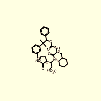 CC(C)(c1cccc(Cl)c1)C(OC(=O)N[C@@H](CC1CCCCC1)C(=O)NC(CC(=O)O)[C@@H]1CCNC1=O)c1ccccc1